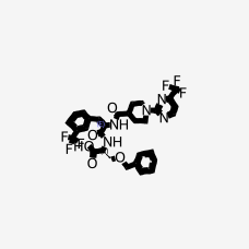 O=C(N[C@H](COCc1ccccc1)C(=O)O)/C(=C\c1cccc(C(F)(F)F)c1)NC(=O)C1CCN(c2nccc(C(F)(F)F)n2)CC1